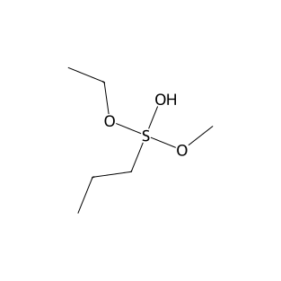 CCCS(O)(OC)OCC